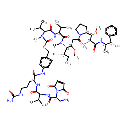 CC[C@H](C)[C@@H]([C@@H](CC(=O)N1CCC[C@H]1[C@H](OC)[C@@H](C)C(=O)N[C@H](C)[C@@H](O)c1ccccc1)OC)N(C)C(=O)[C@@H](NC(=O)C(C(C)C)N(C)C(=O)OCc1ccc(NC(=O)[C@H](CCCNC(N)=O)NC(=O)C(NC(=O)[C@H](CN)N2C(=O)C=CC2=O)C(C)C)cc1)C(C)C